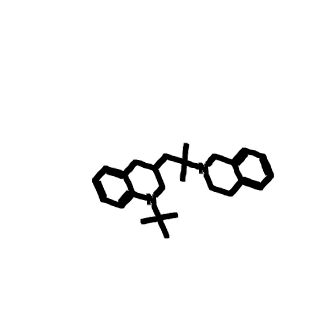 CC(C)(C)N1CC(CC(C)(C)N2CCc3ccccc3C2)Cc2ccccc21